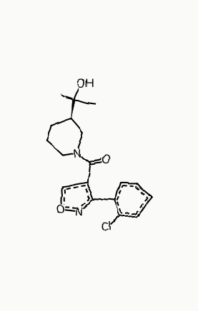 CC(C)(O)[C@@H]1CCCN(C(=O)c2conc2-c2ccccc2Cl)C1